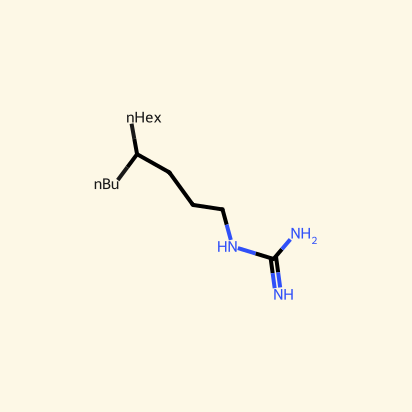 CCCCCCC(CCCC)CCCNC(=N)N